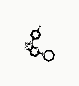 Fc1ccc(-n2nnc3ccc(N4CCCCCC4)nc32)cc1